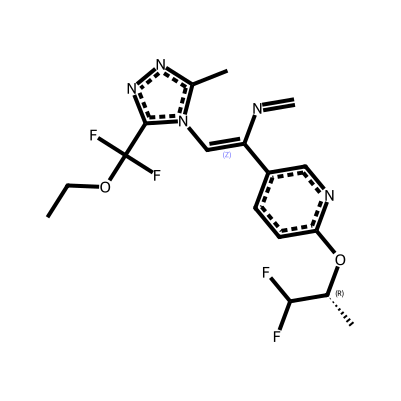 C=N/C(=C\n1c(C)nnc1C(F)(F)OCC)c1ccc(O[C@H](C)C(F)F)nc1